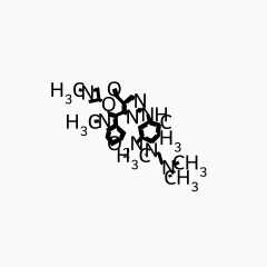 Cc1cc(N(C)CCN(C)C)c([N+](=O)[O-])cc1Nc1ncc(C(=O)OC2CN(C)C2)c(-c2cn(C)c3ccccc23)n1